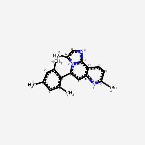 Cc1cc(C)c(-c2cc3nc(C(C)(C)C)ccc3c3ncc(C)n23)c(C)c1